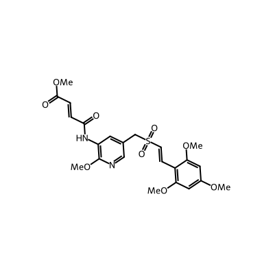 COC(=O)C=CC(=O)Nc1cc(CS(=O)(=O)C=Cc2c(OC)cc(OC)cc2OC)cnc1OC